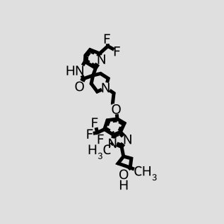 Cn1c(C2CC(C)(O)C2)nc2cc(OCCN3CCC4(CC3)C(=O)Nc3ccc(C(F)F)nc34)cc(C(F)(F)F)c21